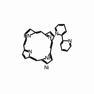 C1=Cc2cc3ccc(cc4nc(cc5ccc(cc1n2)[nH]5)C=C4)[nH]3.[Ni].c1ccc(-c2ccccn2)nc1